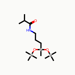 CC(C)C(=O)NCCC[Si](C)(O[Si](C)(C)C)O[Si](C)(C)C